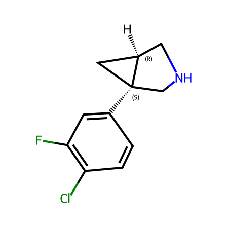 Fc1cc([C@@]23CNC[C@@H]2C3)ccc1Cl